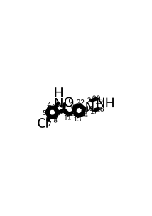 O=C1Nc2ccc(Cl)cc2C1=Cc1ccc(N2CCNCC2)cc1